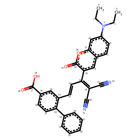 CCN(CC)c1ccc2cc(C(C=Cc3cc(C(=O)O)ccc3-c3ccccc3)=C(C#N)C#N)c(=O)oc2c1